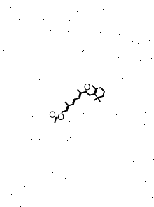 CC(=O)OC/C=C(\C)C=CC=C(C)C(=O)CC1=C(C)CCCC1(C)C